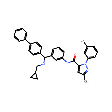 N#Cc1cccc(-n2nc(C(F)(F)F)cc2C(=O)Nc2cccc(C(NCC3CC3)c3ccc(-c4ccccc4)cc3)c2)c1